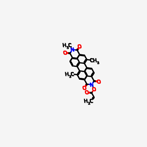 C=CC(=O)ON1C(=O)c2ccc3c4c(C)cc5c6c(ccc(c7c(C)cc(c2c37)C1=O)c64)C(=O)N(C)C5=O